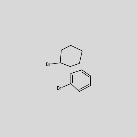 BrC1CCCCC1.Brc1ccccc1